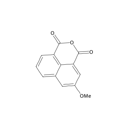 COc1cc2c3c(cccc3c1)C(=O)OC2=O